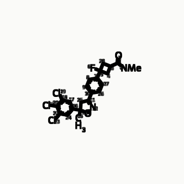 CNC(=O)C1CC(F)(c2ccc(C3=NOC(C)(c4cc(Cl)c(Cl)c(Cl)c4)C3)cc2)C1